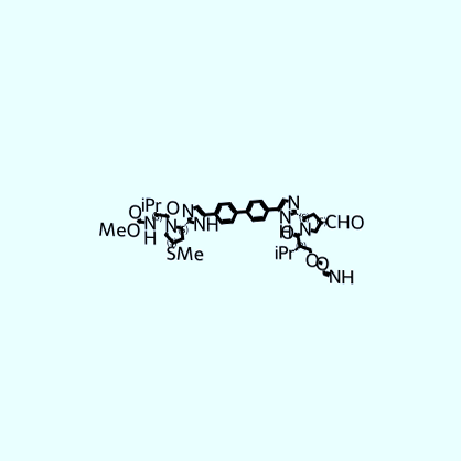 COC(=O)N[C@H](C(=O)N1C[C@@H](SC)C[C@H]1c1ncc(-c2ccc(-c3ccc(-c4cnc([C@@H]5C[C@H](C=O)CN5C(=O)[C@@H](COOC=N)C(C)C)[nH]4)cc3)cc2)[nH]1)C(C)C